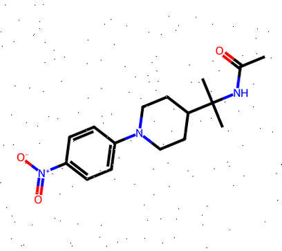 CC(=O)NC(C)(C)C1CCN(c2ccc([N+](=O)[O-])cc2)CC1